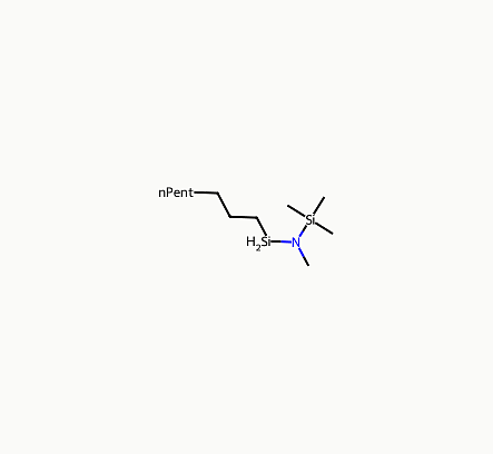 CCCCCCCC[SiH2]N(C)[Si](C)(C)C